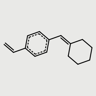 C=Cc1ccc(C=C2CCCCC2)cc1